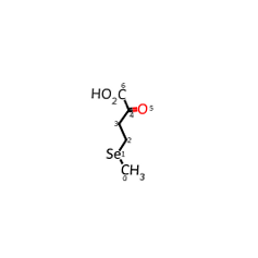 C[Se]CCC(=O)C(=O)O